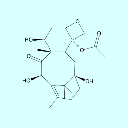 CC(=O)O[C@@]12COC1C[C@H](O)[C@@]1(C)C(=O)[C@H](O)C3=C(C)CC[C@@](O)(CC21)C3(C)C